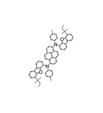 CCC(C)(C)c1cccc2c1oc1c(N(c3ccc(C)cc3)c3ccc4ccc5c(N(c6ccc(C)cc6)c6cccc7c6oc6c(C(C)(C)CC)cccc67)ccc6ccc3c4c65)cccc12